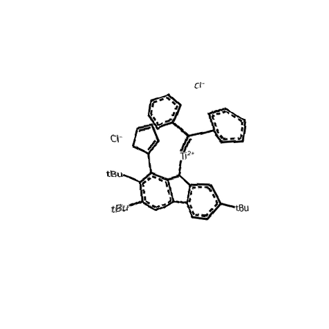 CC(C)(C)c1ccc2c(c1)[CH]([Ti+2]=[C](c1ccccc1)c1ccccc1)c1c-2cc(C(C)(C)C)c(C(C)(C)C)c1C1=CC=CC1.[Cl-].[Cl-]